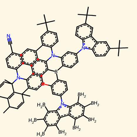 Bc1c(B)c(B)c2c(c1B)c1c(B)c(B)c(B)c(B)c1n2-c1ccc2c(c1)Oc1cc(-c3cc(C#N)ccc3N3c4ccccc4C4(C)C=CC(C)C5=C4C3(C)C=CC5C)cc3c1B2c1ccc(-n2c4ccc(C(C)(C)C)cc4c4cc(C(C)(C)C)ccc42)cc1N3c1ccc(C(C)(C)C)cc1-c1ccccc1